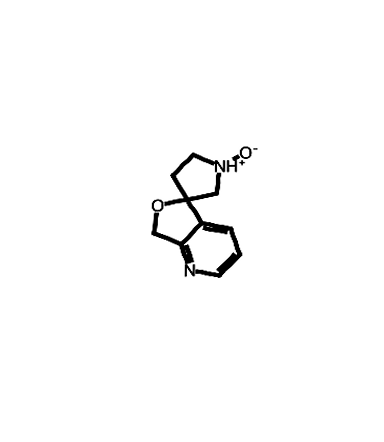 [O-][NH+]1CCC2(C1)OCc1ncccc12